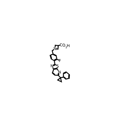 O=C(O)C1CN(Cc2ccc(-c3nc4ccc(C5(c6ccccc6)CC5)nc4s3)c(F)c2)C1